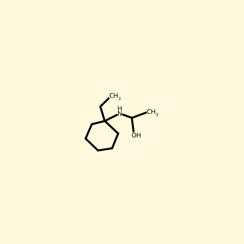 CCC1(NC(C)O)CCCCC1